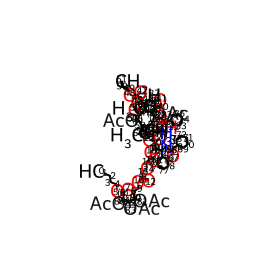 C#CCCCO[C@@H]1OC(COC(=O)COCC(=O)O[C@@H](C(=O)O[C@H]2C[C@@]3(O)[C@@H](OC(=O)c4ccccc4)[C@@H]4[C@]5(OC(C)=O)CO[C@@H]5C[C@H](OC(=O)OCC=C)[C@@]4(C)C(=O)[C@H](OC(C)=O)C(=C2C)C3(C)C)C(NC(=O)c2ccccc2)c2ccccc2)[C@@H](OC(C)=O)C(OC(C)=O)C1OC(C)=O